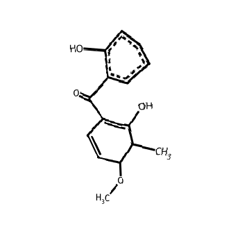 COC1C=CC(C(=O)c2ccccc2O)=C(O)C1C